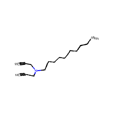 C#CCN(CC#C)CCCCCCCCCCCCCCCCCC